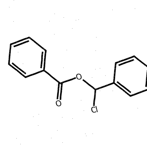 O=C(OC(Cl)c1ccccc1)c1ccccc1